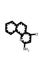 Nc1cc(Cl)c2ccc3ccccc3c2n1